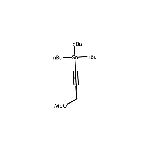 CCC[CH2][Sn]([C]#CCOC)([CH2]CCC)[CH2]CCC